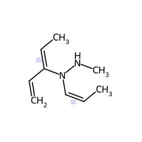 C=C/C(=C/C)N(/C=C\C)NC